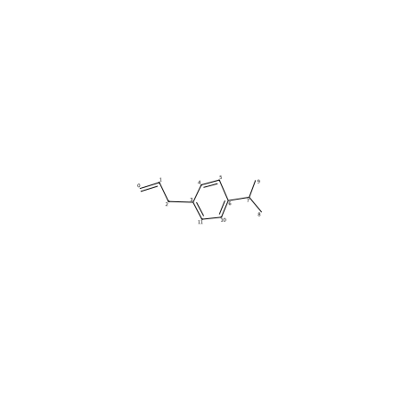 C=CCc1ccc(C(C)C)cc1